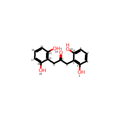 O=C(Cc1c(O)cccc1O)Cc1c(O)cccc1O